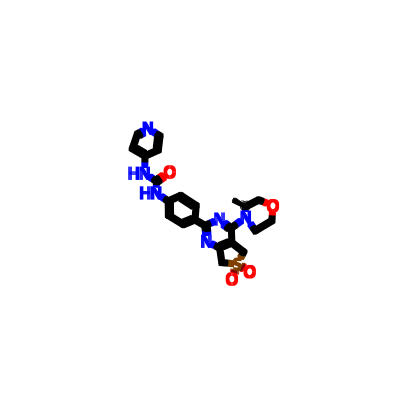 C[C@H]1COCCN1c1nc(-c2ccc(NC(=O)Nc3ccncc3)cc2)nc2c1CS(=O)(=O)C2